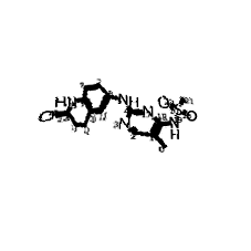 Cc1cnc(Nc2ccc3c(c2)CCC(=O)N3)nc1NS(C)(=O)=O